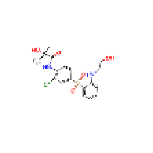 C[C@@](O)(C(=O)Nc1ccc(S(=O)(=O)c2ccccc2NCCO)cc1Cl)C(F)(F)F